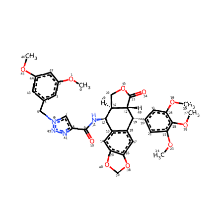 COc1cc(Cn2cc(C(=O)N[C@@H]3c4cc5c(cc4[C@@H](c4cc(OC)c(OC)c(OC)c4)[C@H]4C(=O)OC[C@@H]43)OCO5)nn2)cc(OC)c1